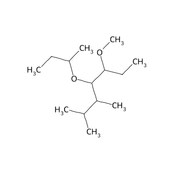 CCC(C)OC(C(CC)OC)C(C)C(C)C